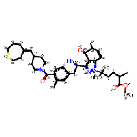 CCCC(CC)(CCC(C)C(=O)OC(C)(C)C)n1nc(C(=N)Cc2ccc(C(=O)N3CCC(/C=C4/CCCSCC4)CC3)c(C)c2)c2c1C=CC(C)C2=O